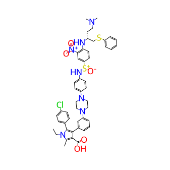 CCn1c(C)c(C(=O)O)c(-c2cccc(N3CCN(c4ccc(N[S+]([O-])c5ccc(N[C@H](CCN(C)C)CSc6ccccc6)c([N+](=O)[O-])c5)cc4)CC3)c2)c1-c1ccc(Cl)cc1